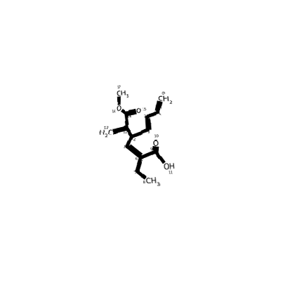 C=CC=CC(C=C(CC)C(=O)O)C(=C)C(=O)OC